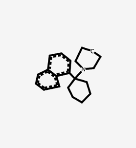 c1ccc2c(C3(N4CCCCC4)CCCCC3)cccc2c1